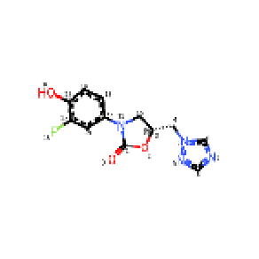 O=C1O[C@@H](Cn2cncn2)CN1c1ccc(O)c(F)c1